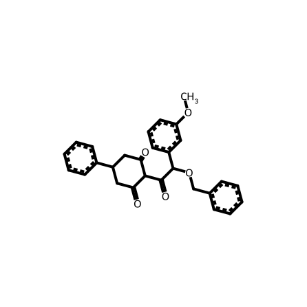 COc1cccc(C(OCc2ccccc2)C(=O)C2C(=O)CC(c3ccccc3)CC2=O)c1